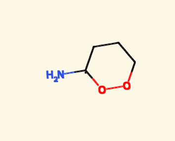 N[C]1CCCOO1